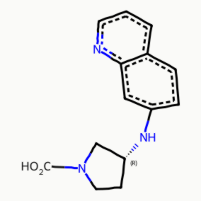 O=C(O)N1CC[C@@H](Nc2ccc3cccnc3c2)C1